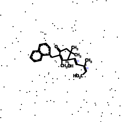 CC1=C(Cc2cccc3ccccc23)C(=O)CC(C)(C)[C@@]1(O)/C=C/C(C)=C\C(=O)O